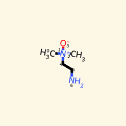 C[N+](C)([O-])CCN